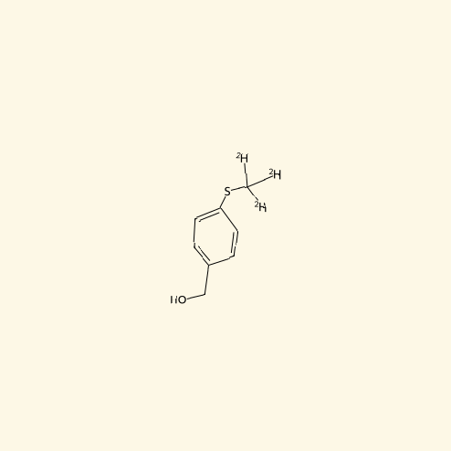 [2H]C([2H])([2H])Sc1ccc(CO)cc1